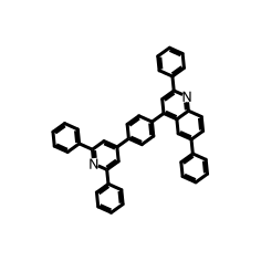 c1ccc(-c2ccc3nc(-c4ccccc4)cc(-c4ccc(-c5cc(-c6ccccc6)nc(-c6ccccc6)c5)cc4)c3c2)cc1